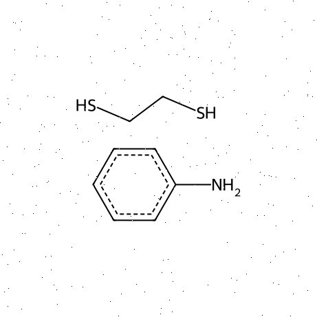 Nc1ccccc1.SCCS